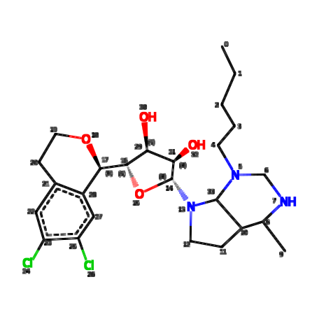 CCCCCN1CNC(C)C2CCN([C@@H]3O[C@H]([C@@H]4OCCc5cc(Cl)c(Cl)cc54)[C@@H](O)[C@H]3O)C21